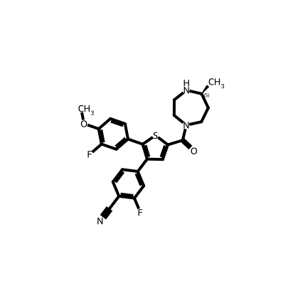 COc1ccc(-c2sc(C(=O)N3CCN[C@@H](C)CC3)cc2-c2ccc(C#N)c(F)c2)cc1F